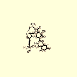 C[C@H]1CC[C@@]2(CC(C#CC(C)(C)[S+]=O)=NO2)[C@H]2CN1C(=O)c1c(O)c(=O)c(C(=O)NCc3c(F)cc(F)cc3F)cn12